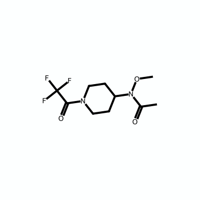 CON(C(C)=O)C1CCN(C(=O)C(F)(F)F)CC1